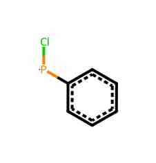 Cl[P]c1ccccc1